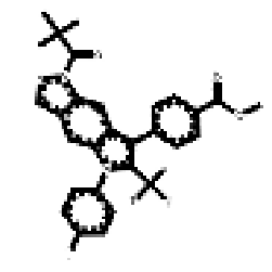 COC(=O)c1ccc(-c2c(C(F)(F)F)n(-c3ccc(F)cc3)c3cc4cnn(C(=O)C(C)(C)C)c4cc23)cc1